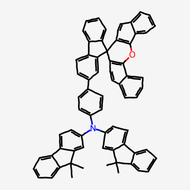 CC1(C)c2ccccc2-c2ccc(N(c3ccc(-c4ccc5c(c4)C4(c6ccccc6-5)c5ccc6ccccc6c5Oc5c4ccc4ccccc54)cc3)c3ccc4c(c3)C(C)(C)c3ccccc3-4)cc21